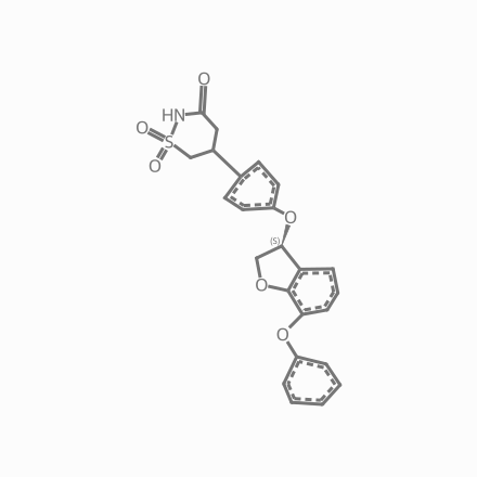 O=C1CC(c2ccc(O[C@@H]3COc4c(Oc5ccccc5)cccc43)cc2)CS(=O)(=O)N1